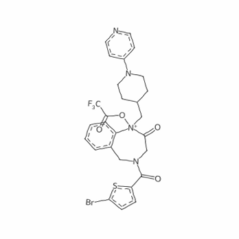 O=C(c1ccc(Br)s1)N1CC(=O)[N+](CC2CCN(c3ccncc3)CC2)(OC(=O)C(F)(F)F)c2ccccc2C1